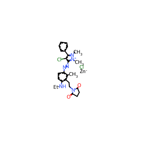 CCNc1ccc(N=Nc2c(Cl)c(-c3ccccc3)n(C)[n+]2C)c(C)c1CCN1C(=O)CCC1=O.[Cl][Zn-]